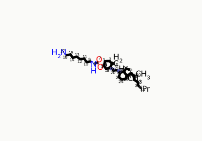 C=C1CC[C@H](OC(=O)NCCCCCCCCN)C/C1=C/C=C1\CCC[C@]2(C)[C@@H]([C@H](C)CCCC(C)C)CC[C@@H]12